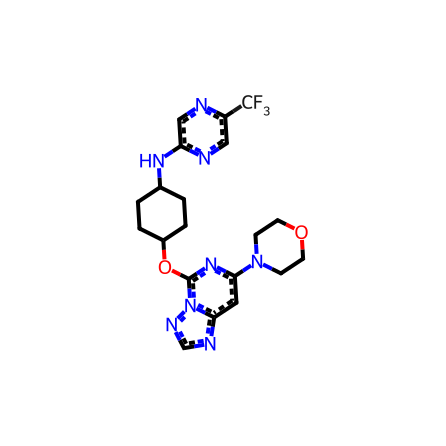 FC(F)(F)c1cnc(NC2CCC(Oc3nc(N4CCOCC4)cc4ncnn34)CC2)cn1